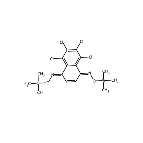 C[Si](C)(C)ON=C1C=CC(=NO[Si](C)(C)C)c2c(Cl)c(Cl)c(Cl)c(Cl)c21